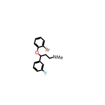 CNCCC(Oc1ccccc1Br)c1cccc(F)c1